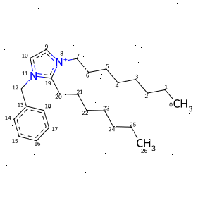 CCCCCCCC[n+]1ccn(Cc2ccccc2)c1CCCCCCC